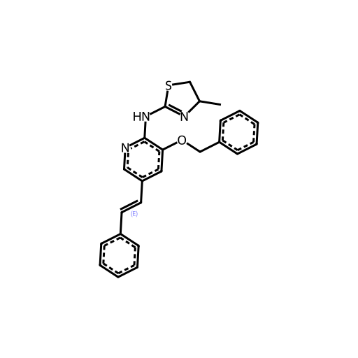 CC1CSC(Nc2ncc(/C=C/c3ccccc3)cc2OCc2ccccc2)=N1